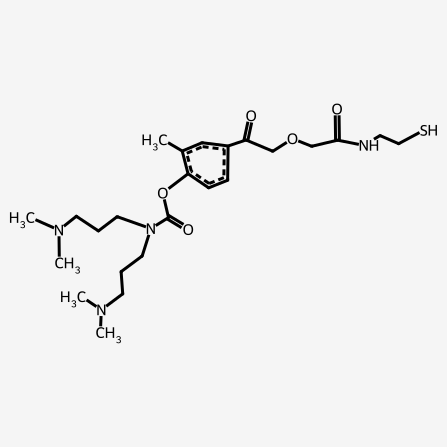 Cc1cc(C(=O)COCC(=O)NCCS)ccc1OC(=O)N(CCCN(C)C)CCCN(C)C